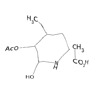 CC(=O)O.CC(=O)OC1C(C)CCNC1O